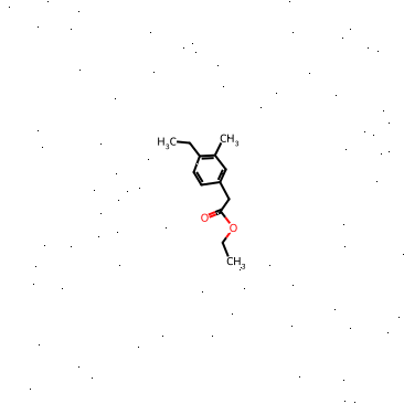 CCOC(=O)Cc1ccc(CC)c(C)c1